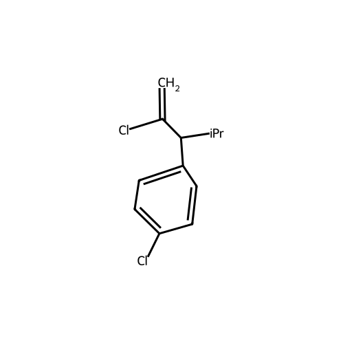 C=C(Cl)C(c1ccc(Cl)cc1)C(C)C